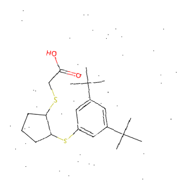 CC(C)(C)c1cc(SC2CCCC2SCC(=O)O)cc(C(C)(C)C)c1